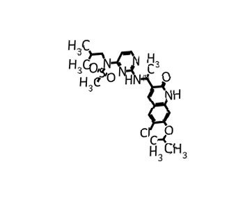 CC(C)CN(c1ccnc(N[C@@H](C)c2cc3cc(Cl)c(OC(C)C)cc3[nH]c2=O)n1)S(C)(=O)=O